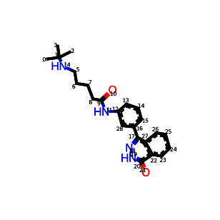 CC(C)(C)NCCCCC(=O)Nc1cccc(-c2n[nH]c(=O)c3ccccc23)c1